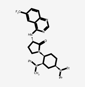 CCN(C(C)C)[C@@H]1CC[C@H](N2CC[C@H](Nc3ncnc4ccc(C(F)(F)F)cc34)C2=O)[C@H](N(C)C(C)C)C1